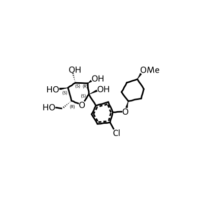 CO[C@H]1CC[C@@H](Oc2cc([C@]3(O)O[C@H](CO)[C@@H](O)[C@H](O)[C@H]3O)ccc2Cl)CC1